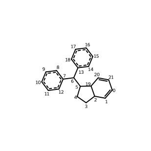 C1=CC2CCC(C(c3ccccc3)c3ccccc3)C2C=C1